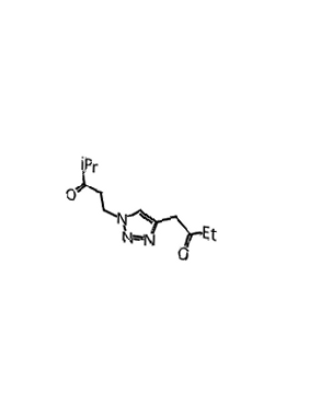 CCC(=O)Cc1cn(CCC(=O)C(C)C)nn1